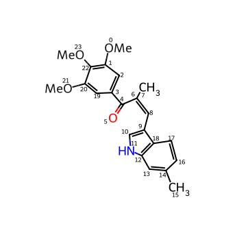 COc1cc(C(=O)C(C)=Cc2c[nH]c3cc(C)ccc23)cc(OC)c1OC